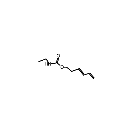 C=C/C=C/CCOC(=O)NCC